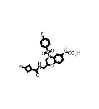 O=C(O)Nc1ccc2c(c1)N(S(=O)(=O)c1ccc(F)cc1)CC(CNC(=O)C1CC(F)C1)O2